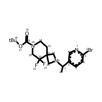 CC(c1ccc(Br)nc1)N1CC2(CCN(C(=O)OC(C)(C)C)CC2(F)F)C1